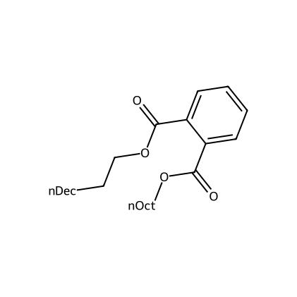 CCCCCCCCCCCCOC(=O)c1ccccc1C(=O)OCCCCCCCC